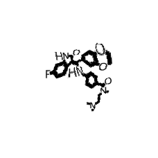 CN(C)CCN(C)C(=O)c1ccc(NC(=C2C(=O)Nc3cc(F)ccc32)c2ccc3c(c2)OC=CO3)cc1